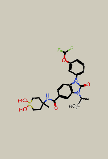 CC(C(=O)O)n1c(=O)n(-c2cccc(OC(F)F)c2)c2ccc(C(=O)NC3(C)CCS(O)(O)CC3)cc21